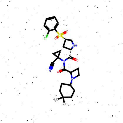 CC1(C)CCC(N2CCC2C(=O)N(C(=O)[C@@H]2C[C@@H](S(=O)(=O)c3ccccc3Cl)CN2)C2(C#N)CC2)CC1